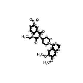 CCn1c(=O)n(C2CCN(c3ncnc4cc(OC)c(OC)cc34)CC2)c(=O)c2cc([N+](=O)[O-])ccc21